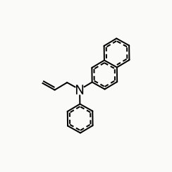 C=CCN(c1ccccc1)c1ccc2ccccc2c1